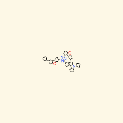 c1ccc(-c2ccc3oc4cc(-c5nc(-c6ccccc6)nc(-c6cccc7oc8ccc(-c9ccc%10c%11ccccc%11n(-c%11ccccc%11)c%10c9)cc8c67)n5)ccc4c3c2)cc1